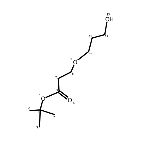 CC(C)(C)OC(=O)CCOCCCO